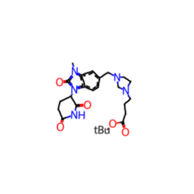 Cn1c(=O)n(C2CCC(=O)NC2=O)c2ccc(CN3CCN(CCCC(=O)OC(C)(C)C)C3)cc21